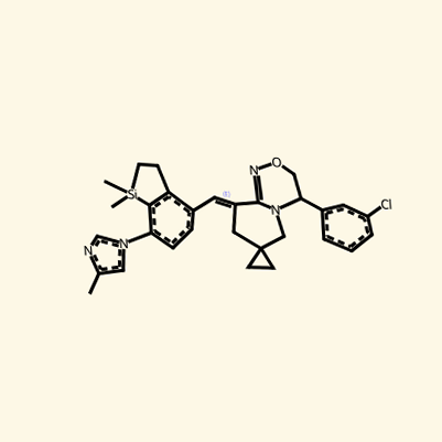 Cc1cn(-c2ccc(/C=C3\CC4(CC4)CN4C3=NOCC4c3cccc(Cl)c3)c3c2[Si](C)(C)CC3)cn1